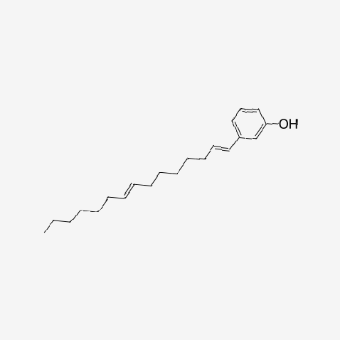 CCCCCCC=CCCCCCC=Cc1cccc(O)c1